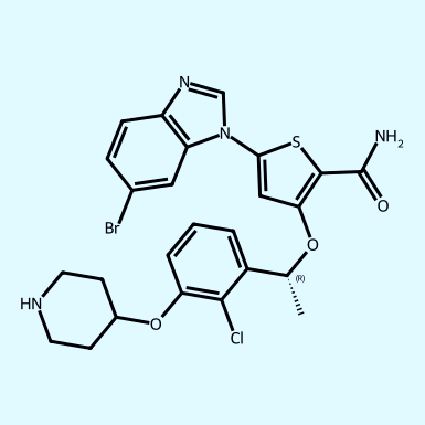 C[C@@H](Oc1cc(-n2cnc3ccc(Br)cc32)sc1C(N)=O)c1cccc(OC2CCNCC2)c1Cl